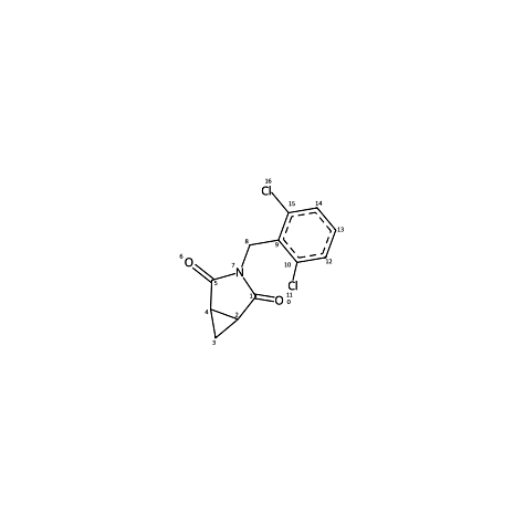 O=C1C2CC2C(=O)N1Cc1c(Cl)cccc1Cl